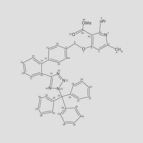 CCCc1nc(C)cc(OCc2ccc(-c3ccccc3-c3nnn(C(c4ccccc4)(c4ccccc4)c4ccccc4)n3)cc2)c1C(=O)OC